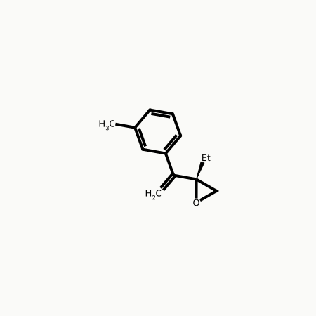 C=C(c1cccc(C)c1)[C@]1(CC)CO1